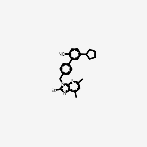 CCc1nc2c(C)cc(C)nc2n1Cc1ccc(-c2cc(C3CCCC3)ccc2C#N)cc1